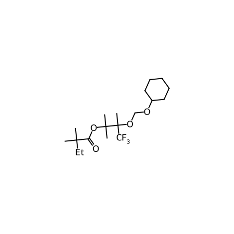 CCC(C)(C)C(=O)OC(C)(C)C(C)(OCOC1CCCCC1)C(F)(F)F